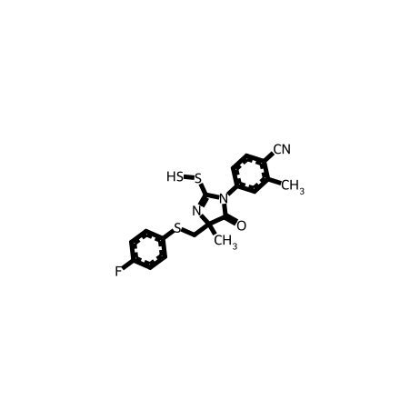 Cc1cc(N2C(=O)C(C)(CSc3ccc(F)cc3)N=C2SS)ccc1C#N